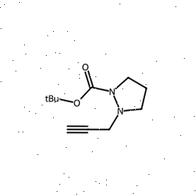 C#CCN1CCCN1C(=O)OC(C)(C)C